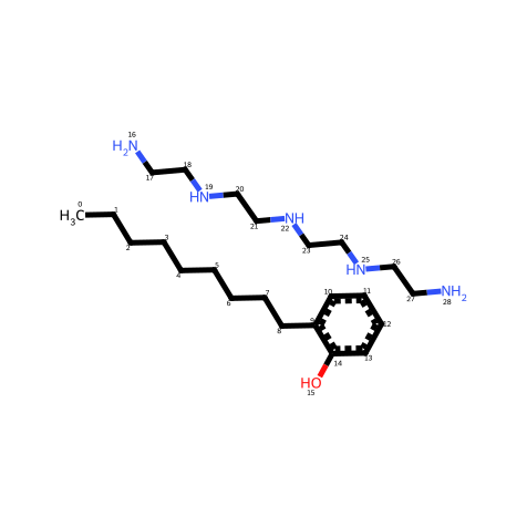 CCCCCCCCCc1ccccc1O.NCCNCCNCCNCCN